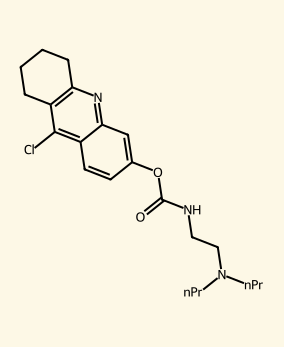 CCCN(CCC)CCNC(=O)Oc1ccc2c(Cl)c3c(nc2c1)CCCC3